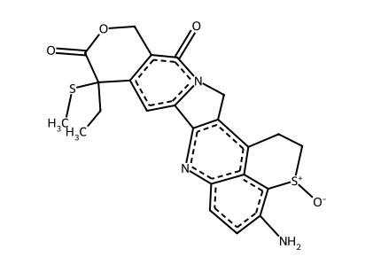 CCC1(SC)C(=O)OCc2c1cc1n(c2=O)Cc2c-1nc1ccc(N)c3c1c2CC[S+]3[O-]